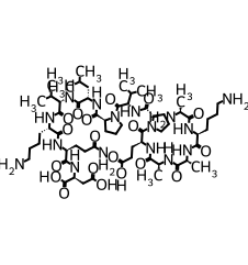 CC(C)C[C@H](NC(=O)[C@@H]1CCCN1C(=O)[C@@H](NC(=O)[C@@H]1CCCN1C(=O)[C@H](CCC(=O)O)NC(=O)[C@H](C)NC(=O)[C@H](C)NC(=O)[C@H](CCCCN)NC(=O)[C@H](C)N)C(C)C)C(=O)N[C@H](C(=O)N[C@@H](CCCCN)C(=O)N[C@@H](CCC(N)=O)C(=O)N[C@@H](CC(=O)O)C(=O)O)C(C)C